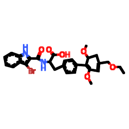 CCOCC1=CC(OC)=C(c2ccc(CC(NC(=O)c3[nH]c4ccccc4c3Br)C(=O)O)cc2)C(OC)C1